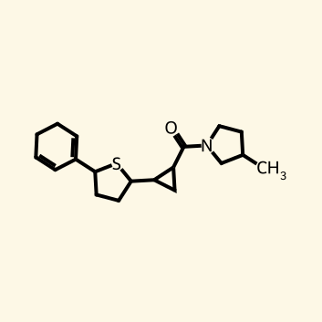 CC1CCN(C(=O)C2CC2C2CCC(C3=CCCC=C3)S2)C1